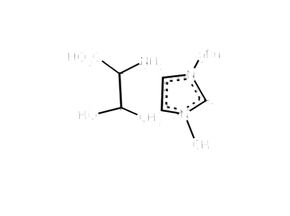 CC(O)C(N)C(=O)O.CCCC[n+]1ccn(C)c1